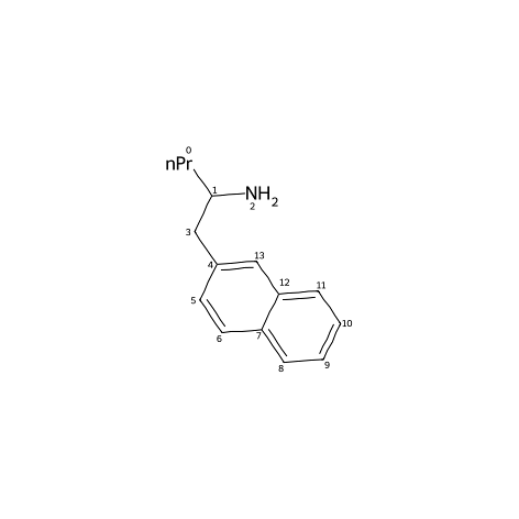 CCCC(N)Cc1ccc2ccccc2c1